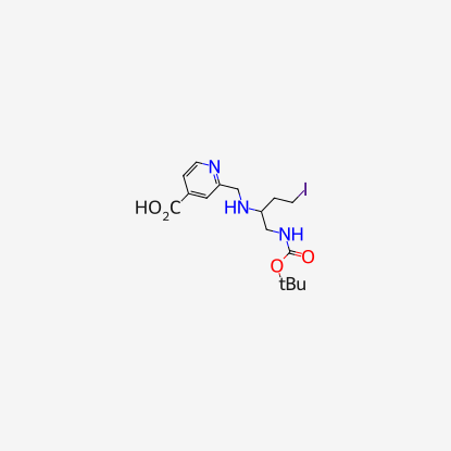 CC(C)(C)OC(=O)NCC(CCI)NCc1cc(C(=O)O)ccn1